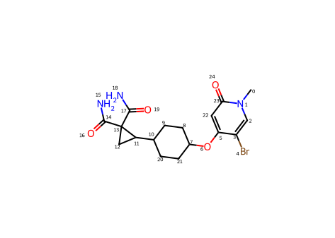 Cn1cc(Br)c(OC2CCC(C3CC3(C(N)=O)C(N)=O)CC2)cc1=O